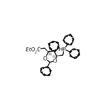 CCOC(=O)C[C@H]1C[C@@H](C[PH](c2ccccc2)(c2ccccc2)c2ccccc2)OC(c2ccccc2)O1